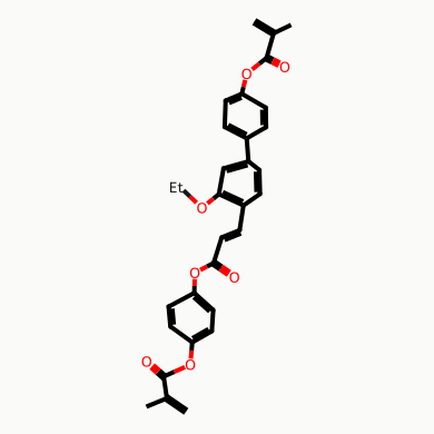 C=C(C)C(=O)Oc1ccc(OC(=O)/C=C/c2ccc(-c3ccc(OC(=O)C(=C)C)cc3)cc2OCC)cc1